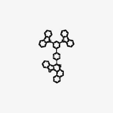 c1ccc2c(c1)ccc1nc(-c3ccc(-c4cc(-n5c6ccccc6c6ccccc65)cc(-n5c6ccccc6c6ccccc65)c4)cc3)c3c4ccccc4oc3c12